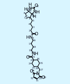 O=C(CCCCC1SC[C@@H]2NC(=O)N[C@H]12)NCCCCNC(=O)C1CCC(CN2C(=O)C=CC2=O)CC1